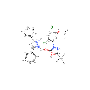 CC(C)Oc1cc(-n2nc(C(C)(C)C)oc2=O)c(Cl)cc1Cl.Cn1c(-c2ccccc2)cc(-c2ccccc2)[n+]1C